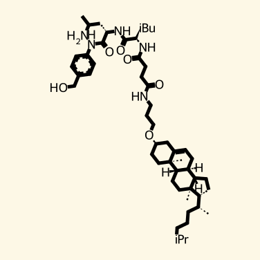 CC[C@H](C)[C@H](NC(=O)CCC(=O)NCCCO[C@H]1CC[C@@]2(C)C(=CC[C@H]3[C@@H]4CC[C@H]([C@H](C)CCCC(C)C)[C@@]4(C)CC[C@@H]32)C1)C(=O)N[C@@H](CC(C)N)C(=O)Nc1ccc(CO)cc1